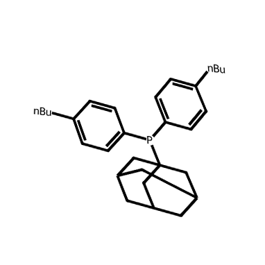 CCCCc1ccc(P(c2ccc(CCCC)cc2)C23CC4CC(CC(C4)C2)C3)cc1